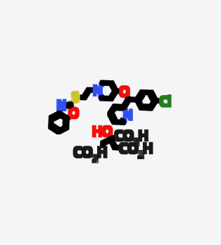 Clc1ccc(C(OC2CCN(CCSc3nc4ccccc4o3)CC2)c2ccccn2)cc1.O=C(O)CC(O)(CC(=O)O)C(=O)O